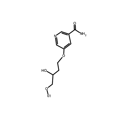 CCOCC(O)CCOc1cncc(C(N)=O)c1